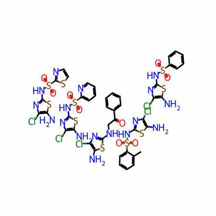 Cc1ccccc1S(=O)(=O)Nc1nc(Cl)c(N)s1.Nc1sc(NCC(=O)c2ccccc2)nc1Cl.Nc1sc(NS(=O)(=O)c2ccccc2)nc1Cl.Nc1sc(NS(=O)(=O)c2ccccn2)nc1Cl.Nc1sc(NS(=O)(=O)c2nccs2)nc1Cl